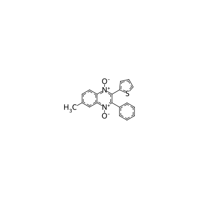 Cc1ccc2c(c1)[n+]([O-])c(-c1ccccc1)c(-c1cccs1)[n+]2[O-]